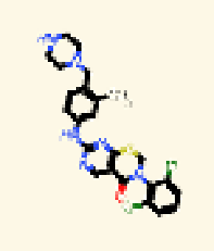 Cc1cc(Nc2ncc3c(n2)SCN(c2c(Cl)cccc2Cl)C3=O)ccc1CN1CCNCC1